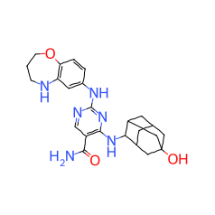 NC(=O)c1cnc(Nc2ccc3c(c2)NCCCO3)nc1NC1C2CC3CC1CC(O)(C3)C2